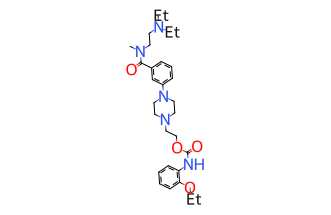 CCOc1ccccc1NC(=O)OCCN1CCN(c2cccc(C(=O)N(C)CCN(CC)CC)c2)CC1